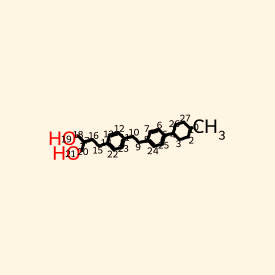 CC1CCC(c2ccc(CCc3ccc(CCC(CO)CO)cc3)cc2)CC1